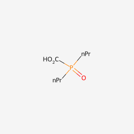 CCCP(=O)(CCC)C(=O)O